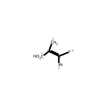 C/C(C(=O)O)=C(\F)C(C)C